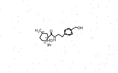 CC(C)[C@@H]1CC[C@@H](C)C[C@@]1(O)C(=O)NCCc1ccc(CO)cc1